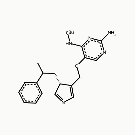 CCCCNc1nc(N)ncc1OCC1=CN=C[C@@H]1CC(C)c1ccccc1